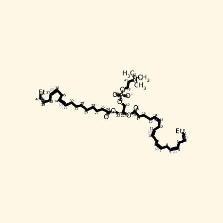 CC/C=C\C/C=C\C/C=C\C/C=C\C/C=C\CCCC(=O)O[C@H](COC(=O)CCCCCCC/C=C\C/C=C\C/C=C\CC)COP(=O)([O-])OCC[N+](C)(C)C